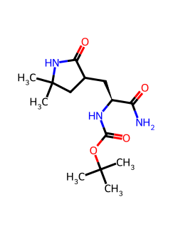 CC1(C)CC(C[C@H](NC(=O)OC(C)(C)C)C(N)=O)C(=O)N1